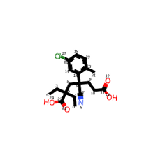 CCC(CC)(CC(C#N)(CCC(=O)O)c1cc(Cl)ccc1C)C(=O)O